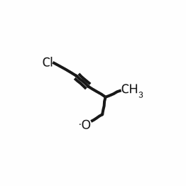 CC(C#CCl)C[O]